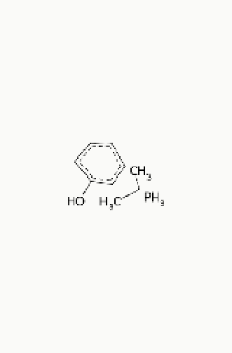 CCC.Oc1ccccc1.P